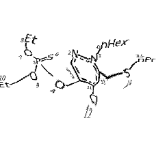 CCCCCCn1nc(OP(=S)(OCC)OCC)c(Cl)c1SCCC